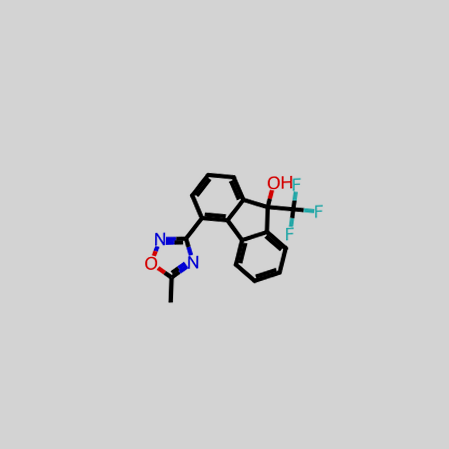 Cc1nc(-c2cccc3c2-c2ccccc2C3(O)C(F)(F)F)no1